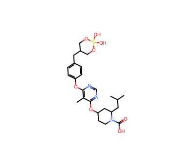 Cc1c(Oc2ccc(CC3COS(O)(O)OC3)cc2)ncnc1OC1CCN(C(=O)O)C(CC(C)C)C1